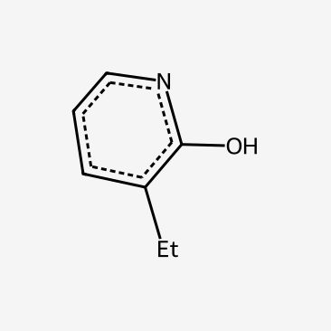 [CH2]Cc1cccnc1O